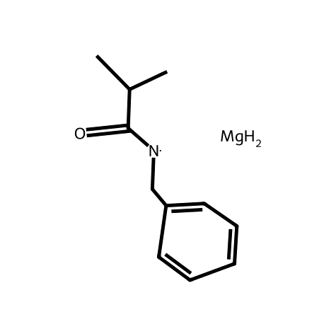 CC(C)C(=O)[N]Cc1ccccc1.[MgH2]